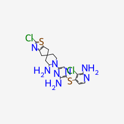 Nc1nc(N2CCC3(Cc4nc(Cl)sc4C3)CC2N)cnc1Sc1ccnc(N)c1Cl